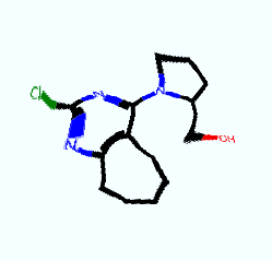 OCC1CCCN1c1nc(Cl)nc2c1CCCCC2